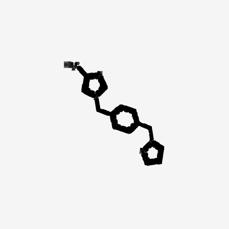 O=C(O)c1cn(Cc2ccc(Cn3cccn3)cc2)cn1